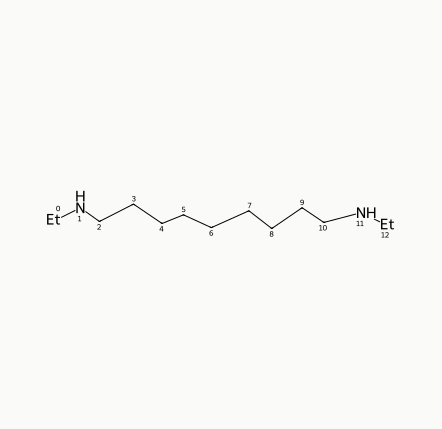 CCNCCCCCCCCCNCC